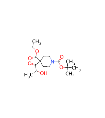 CCOC(=O)C1(C(=O)C(C)O)CCN(C(=O)OC(C)(C)C)CC1